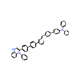 C\C=C/C(=C\C=C\c1ccc(-c2ccc(N(C3=CCCC=C3)c3ccccc3)cc2)cc1)c1ccc(-c2ccc(C3=CNc4ccccc4N3c3ccccc3)cc2)cc1